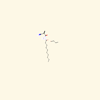 C=C(C#N)C(=O)NC(CCCCCCCCC)OCCCC